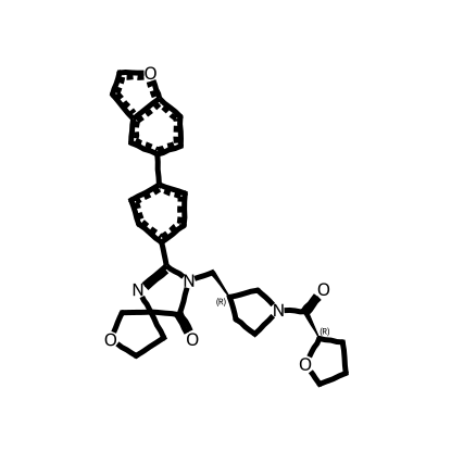 O=C([C@H]1CCCO1)N1CC[C@@H](CN2C(=O)C3(CCOC3)N=C2c2ccc(-c3ccc4occc4c3)cc2)C1